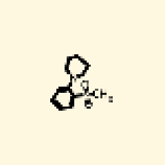 CS(=O)(=O)c1ccccc1N1CCCCC1